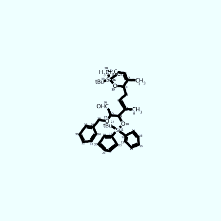 C/C=C(/C)C(C/C=C(\C)C(O[Si](c1ccccc1)(c1ccccc1)C(C)(C)C)C(C=O)OCc1ccccc1)O[Si](C)(C)C(C)(C)C